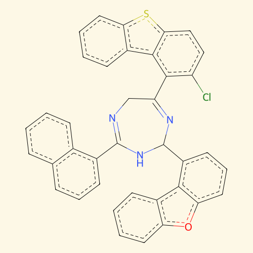 Clc1ccc2sc3ccccc3c2c1C1=NC(c2cccc3oc4ccccc4c23)NC(c2cccc3ccccc23)=NC1